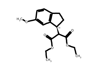 CCOC(=O)C(C(=O)OCC)[C@@H]1CCc2ccc(OC)cc21